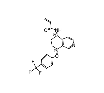 C=CC(=O)N[C@@H]1CC[C@H](Oc2ccc(C(F)(F)F)cc2)c2cnccc21